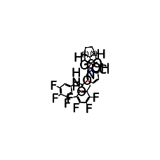 O=C(Nc1cc(F)c(F)c(F)c1)c1ccc(Cl)c(S(=O)(=O)C2[C@H]3CC[C@H]2CC(O)(/C=N/OCc2c(F)c(F)c(F)c(F)c2F)C3)c1